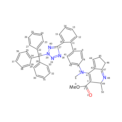 COC(=O)C1=C(N(C)c2ccc(-c3ccccc3-c3nnn(C(c4ccccc4)(c4ccccc4)c4ccccc4)n3)cc2)C2=CCCC2=NC1C